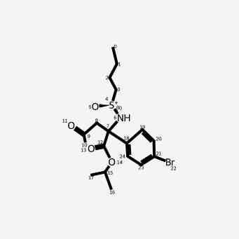 CCCC[S@+]([O-])NC(CC(C)=O)(C(=O)OC(C)C)c1ccc(Br)cc1